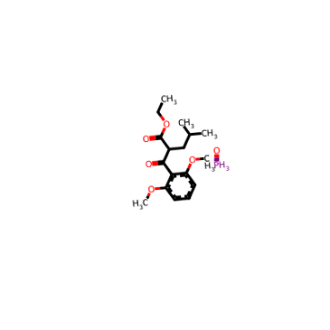 CCOC(=O)C(CC(C)C)C(=O)c1c(OC)cccc1OC.O=[PH3]